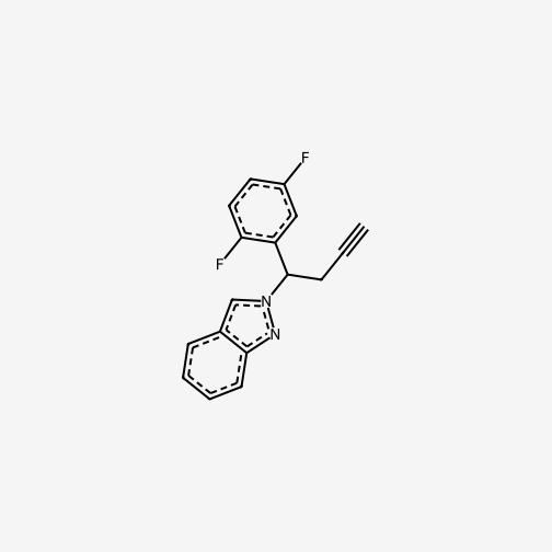 C#CCC(c1cc(F)ccc1F)n1cc2ccccc2n1